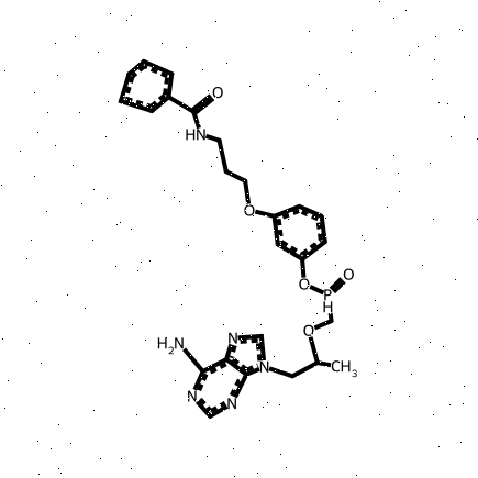 CC(Cn1cnc2c(N)ncnc21)OC[PH](=O)Oc1cccc(OCCCNC(=O)c2ccccc2)c1